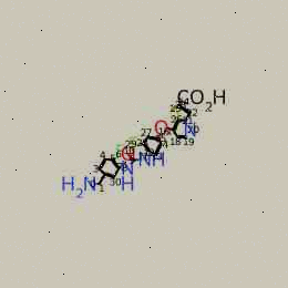 NCc1ccc(F)c(NC(=O)Nc2ccc(Oc3ccnc4cc(C(=O)O)sc34)cc2F)c1